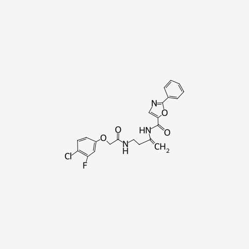 C=C(CCNC(=O)COc1ccc(Cl)c(F)c1)NC(=O)c1cnc(-c2ccccc2)o1